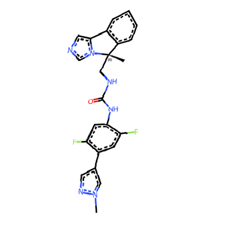 Cn1cc(-c2cc(F)c(NC(=O)NC[C@@]3(C)c4ccccc4-c4cncn43)cc2F)cn1